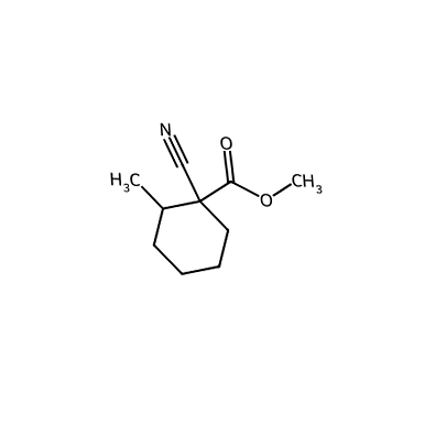 COC(=O)C1(C#N)CCCCC1C